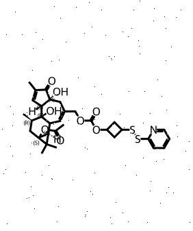 CC(=O)O[C@@]12C[C@@H](C)[C@@]3(O)C(C=C(COC(=O)OC4CC(SSc5ccccn5)C4)C[C@]4(O)C(=O)C(C)=C[C@@H]34)[C@H]1C2(C)C